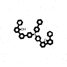 Oc1c(-c2cccc(-c3ccc(N(C4=CCC(c5cccc6c5oc5c(C7=CCCC=C7)cccc56)C=C4)c4ccc(-c5ccccc5)cc4)cc3)c2)cccc1C1C=CC=CC1